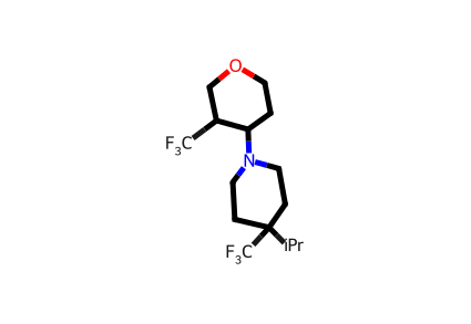 CC(C)C1(C(F)(F)F)CCN(C2CCOCC2C(F)(F)F)CC1